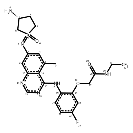 Cc1cc(N=S2(=O)CC[C@@H](N)C2)cc2ncnc(Nc3ccc(F)cc3OCC(=O)NCC(F)(F)F)c12